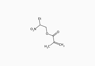 C=C(C)C(=O)OCC(CC)[N+](=O)[O-]